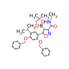 CCNC(=O)c1noc(-c2cc(C(C)C)c(OCc3ccccc3)cc2OCc2ccccc2)c1B1OCC(C)(C)O1